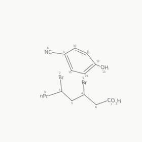 CCCC(Br)CC(Br)CC(=O)O.N#Cc1ccc(O)cc1